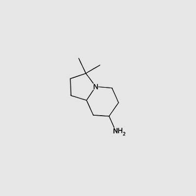 CC1(C)CCC2CC(N)CCN21